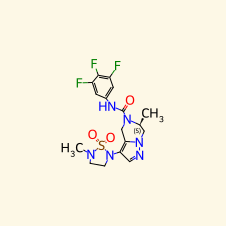 C[C@H]1Cn2ncc(N3CCN(C)S3(=O)=O)c2CN1C(=O)Nc1cc(F)c(F)c(F)c1